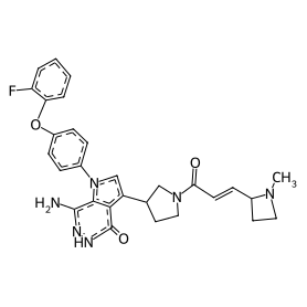 CN1CCC1/C=C/C(=O)N1CCC(c2cn(-c3ccc(Oc4ccccc4F)cc3)c3c(N)n[nH]c(=O)c23)C1